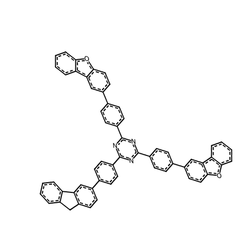 c1ccc2c(c1)Cc1ccc(-c3ccc(-c4nc(-c5ccc(-c6ccc7oc8ccccc8c7c6)cc5)nc(-c5ccc(-c6ccc7oc8ccccc8c7c6)cc5)n4)cc3)cc1-2